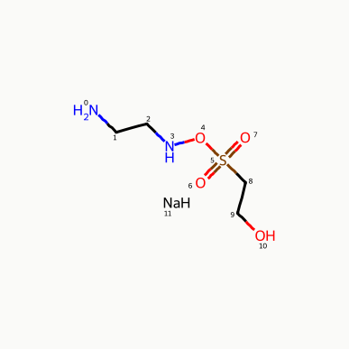 NCCNOS(=O)(=O)CCO.[NaH]